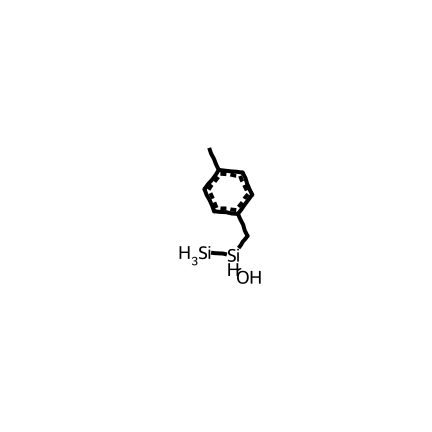 Cc1ccc(C[SiH](O)[SiH3])cc1